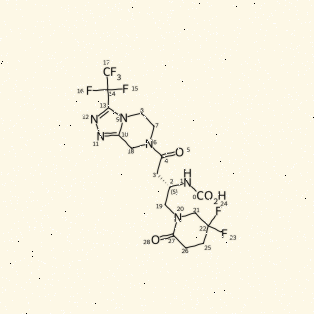 O=C(O)N[C@@H](CC(=O)N1CCn2c(nnc2C(F)(F)C(F)(F)F)C1)CN1CC(F)(F)CCC1=O